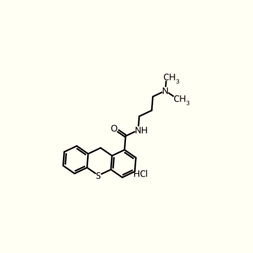 CN(C)CCCNC(=O)c1cccc2c1Cc1ccccc1S2.Cl